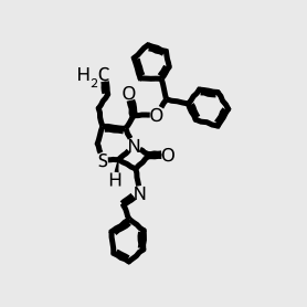 C=CCC1=C(C(=O)OC(c2ccccc2)c2ccccc2)N2C(=O)C(N=Cc3ccccc3)[C@@H]2SC1